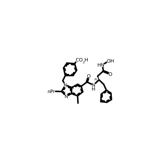 CCCc1nc2c(C)cc(C(=O)N[C@@H](CC(=O)NO)Cc3ccccc3)cc2n1Cc1ccc(C(=O)O)cc1